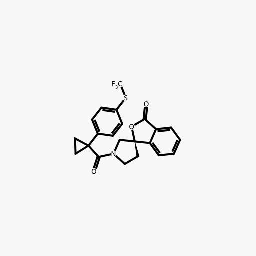 O=C1O[C@]2(CCN(C(=O)C3(c4ccc(SC(F)(F)F)cc4)CC3)C2)c2ccccc21